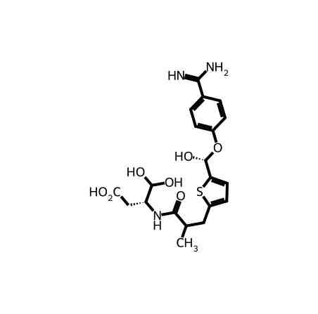 CC(Cc1ccc([C@H](O)Oc2ccc(C(=N)N)cc2)s1)C(=O)N[C@H](CC(=O)O)C(O)O